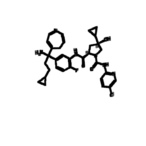 NC(CCC1CC1)(C1=CC=NC=CC1)c1ccc(F)c(NC(=O)[C@H]2C[C@](O)(C3CC3)CN2C(=O)Nc2ccc(Cl)cn2)c1